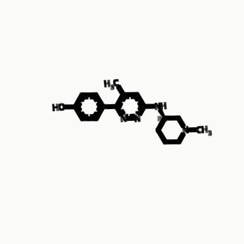 Cc1cc(N[C@@H]2CCCN(C)C2)nnc1-c1ccc(O)cc1